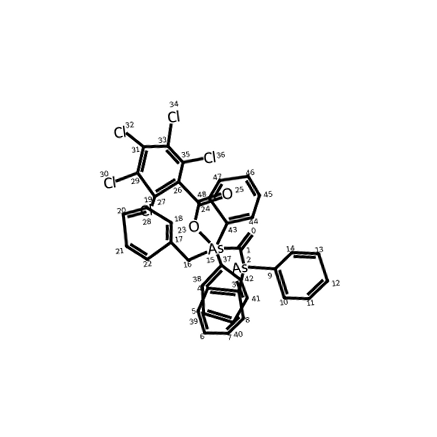 C=C([As](c1ccccc1)c1ccccc1)[As](Cc1ccccc1)(OC(=O)c1c(Cl)c(Cl)c(Cl)c(Cl)c1Cl)(c1ccccc1)c1ccccc1